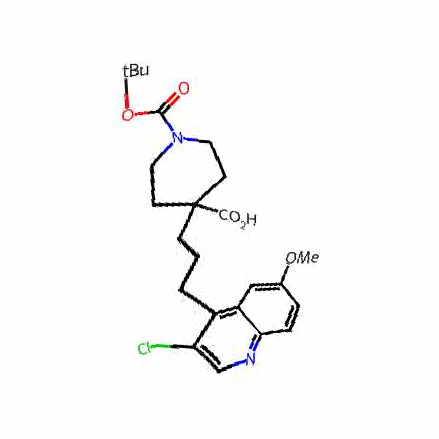 COc1ccc2ncc(Cl)c(CCCC3(C(=O)O)CCN(C(=O)OC(C)(C)C)CC3)c2c1